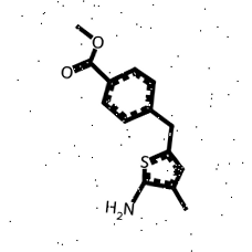 COC(=O)c1ccc(Cc2cc(C)c(N)s2)cc1